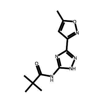 Cc1cc(-c2n[nH]c(NC(=O)C(C)(C)C)n2)no1